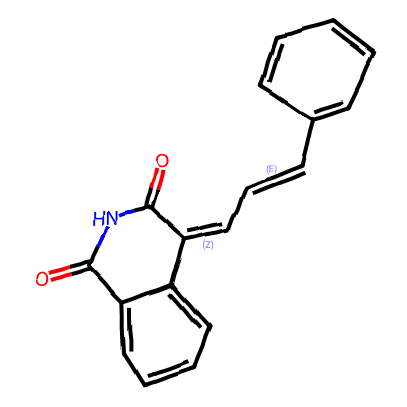 O=C1NC(=O)c2ccccc2/C1=C/C=C/c1ccccc1